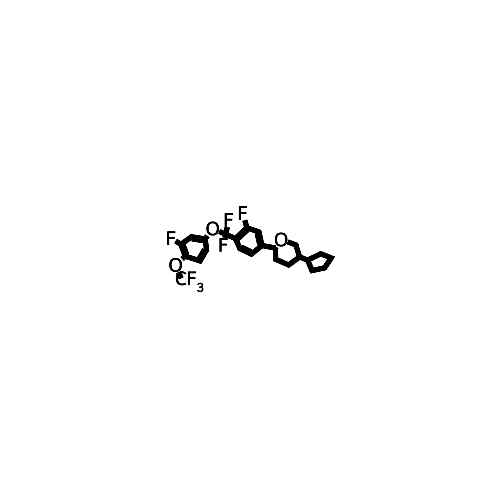 Fc1cc(OC(F)(F)c2ccc(C3CCC(C4CCCC4)CO3)cc2F)ccc1OC(F)(F)F